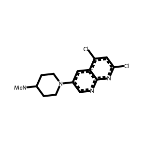 CNC1CCN(c2cnc3nc(Cl)cc(Cl)c3c2)CC1